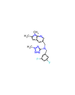 Cc1cc2cc(CN(Cc3cc(F)cc(F)c3)c3nnn(C)n3)[c]nc2n1C